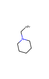 CC[CH]CN1CCCCC1